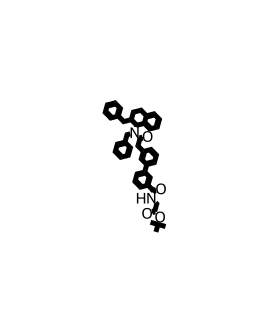 CC(C)(C)OC(=O)CNC(=O)c1cccc(-c2cccc(CC(=O)N(Cc3ccccc3)C3c4ccccc4CCC3Cc3ccccc3)c2)c1